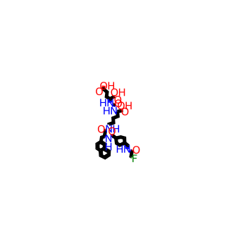 O=C(O)CCC(NC(=O)NC(CCCCNC(=O)C(Cc1ccc2ccccc2c1)NC(=O)C1CCC(CNC(=O)CF)CC1)C(=O)O)C(=O)O